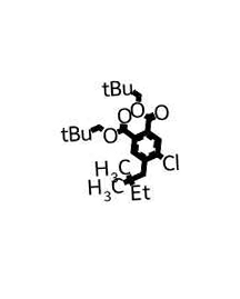 CCC(C)(C)Cc1cc(C(=O)OCC(C)(C)C)c(C(=O)OCC(C)(C)C)cc1Cl